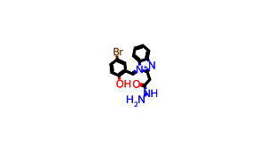 NNC(=O)CC1=Nc2ccccc2[N+]1=Cc1cc(Br)ccc1O